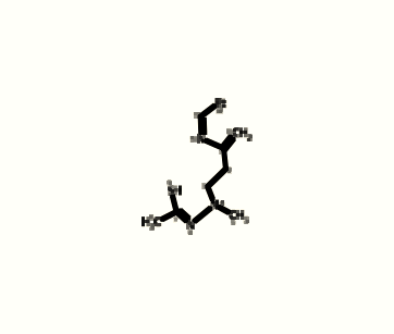 C=C(CCN(C)/N=C(/C)S)/N=C\CC